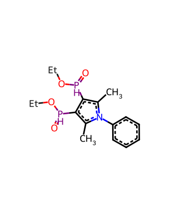 CCO[PH](=O)c1c([PH](=O)OCC)c(C)n(-c2ccccc2)c1C